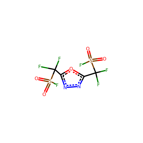 O=S(=O)(F)C(F)(F)c1nnc(C(F)(F)S(=O)(=O)F)o1